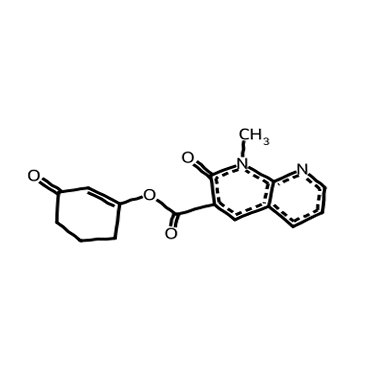 Cn1c(=O)c(C(=O)OC2=CC(=O)CCC2)cc2cccnc21